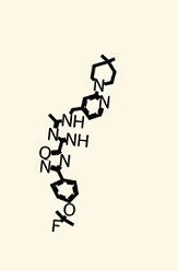 C/C(=N/C(=N)c1nc(-c2ccc(OC(C)(C)F)cc2)no1)NCc1ccnc(N2CCC(C)(C)CC2)c1